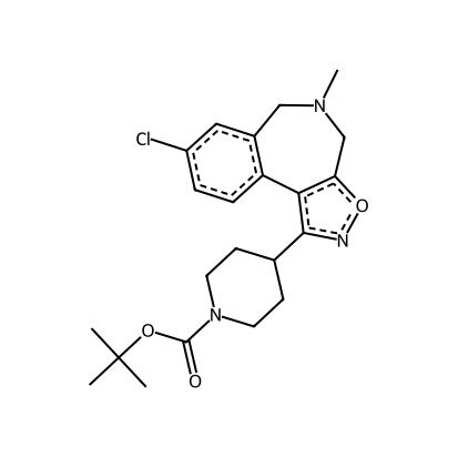 CN1Cc2cc(Cl)ccc2-c2c(C3CCN(C(=O)OC(C)(C)C)CC3)noc2C1